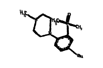 CN1CCN(c2ccc(C(C)(C)C)cc2P(C)(C)=O)CC1